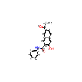 COC(=O)c1ccc2cc(O)c(C(=O)Nc3ccccc3)cc2c1